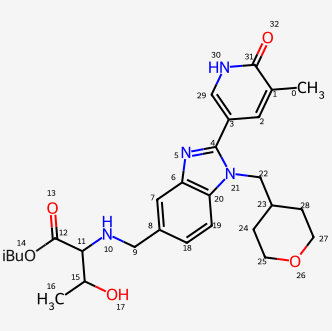 Cc1cc(-c2nc3cc(CNC(C(=O)OCC(C)C)C(C)O)ccc3n2CC2CCOCC2)c[nH]c1=O